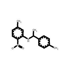 Cc1ccc(C(C)Nc2cc(C)ccc2[N+](=O)[O-])cc1